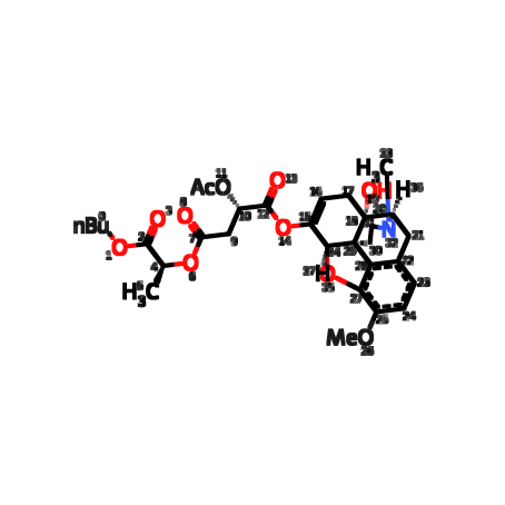 CCCCOC(=O)[C@H](C)OC(=O)C[C@H](OC(C)=O)C(=O)OC1=CC[C@@]2(O)[C@H]3Cc4ccc(OC)c5c4[C@@]2(CCN3C)[C@H]1O5